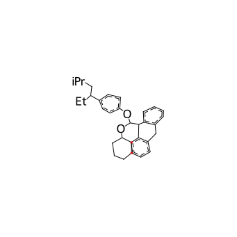 CCC(CC(C)C)c1ccc(OC(OC2CCCCC2)C2c3ccccc3Cc3ccccc32)cc1